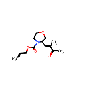 C=CCOC(=O)N1CCOC[C@H]1/C=C(\C)C(C)=O